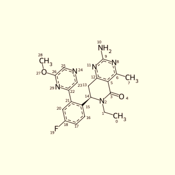 CCN1C(=O)c2c(C)nc(N)nc2C[C@@H]1c1ccc(F)cc1-c1cncc(OC)n1